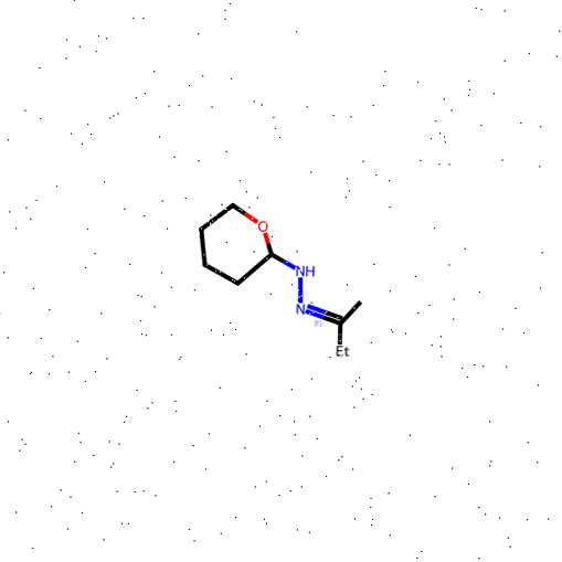 CC/C(C)=N/NC1CCCCO1